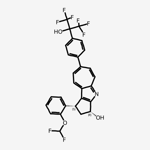 O[C@@H]1C[C@H](c2ccccc2OC(F)F)c2c3ccc(-c4ccc(C(O)(C(F)(F)F)C(F)(F)F)cc4)ccc-3nc21